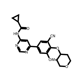 COc1cc(-c2cc(NC(=O)C3CC3)ncn2)cc(C#N)c1OC1CCOCC1